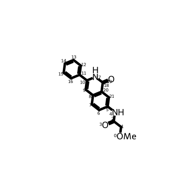 COCC(=O)Nc1ccc2cc(-c3ccccc3)[nH]c(=O)c2c1